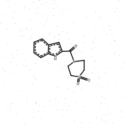 O=C(c1cc2ccccc2[nH]1)N1CCS(=O)(=O)CC1